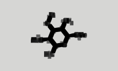 CCOC1C(C)[C@@H](OC)OC(C)[C@H]1OC